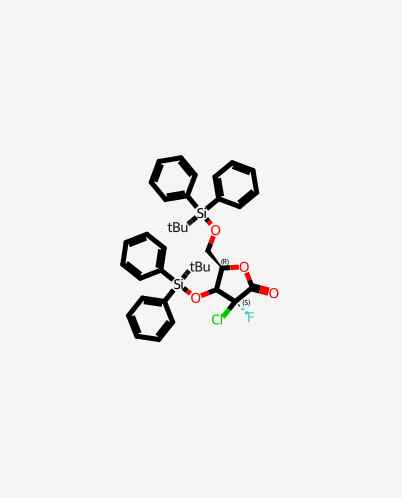 CC(C)(C)[Si](OC[C@H]1OC(=O)[C@@](F)(Cl)C1O[Si](c1ccccc1)(c1ccccc1)C(C)(C)C)(c1ccccc1)c1ccccc1